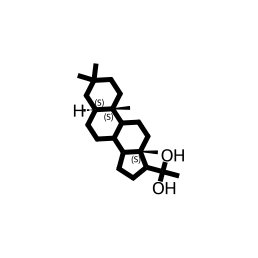 CC1(C)CC[C@]2(C)C3CC[C@@]4(C)C(CCC4C(C)(O)O)C3CC[C@H]2C1